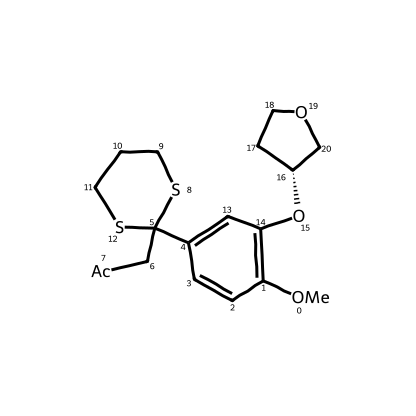 COc1ccc(C2(CC(C)=O)SCCCS2)cc1O[C@@H]1CCOC1